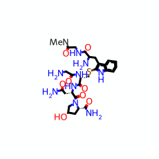 CNC(=O)CNC(=O)C(N)Cc1c(SC[C@@H](NC(=O)CN)C(=O)N[C@@H](CC(N)=O)C(=O)N2C[C@H](O)C[C@H]2C(N)=O)[nH]c2ccccc12